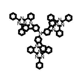 c1ccc(-c2nc(-c3ccccc3)nc(-c3ccccc3-n3c4ccccc4c4cc(N(c5ccc6c(c5)c5ccccc5n6-c5ccccc5-c5nc(-c6ccccc6)nc(-c6ccccc6)n5)c5ccc6c(c5)c5ccccc5n6-c5ccccc5-c5nc(-c6ccccc6)nc(-c6ccccc6)n5)ccc43)n2)cc1